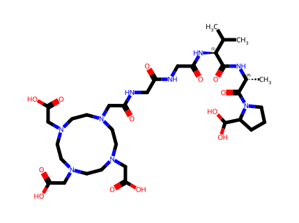 CC(C)[C@H](NC(=O)CNC(=O)CNC(=O)CN1CCN(CC(=O)O)CCN(CC(=O)O)CCN(CC(=O)O)CC1)C(=O)N[C@H](C)C(=O)N1CCCC1C(O)O